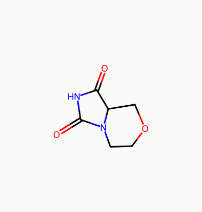 O=C1NC(=O)N2CCOCC12